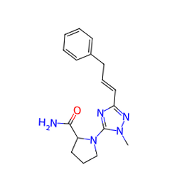 Cn1nc(C=CCc2ccccc2)nc1N1CCCC1C(N)=O